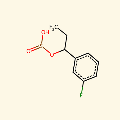 O=S(O)OC(CC(F)(F)F)c1cccc(F)c1